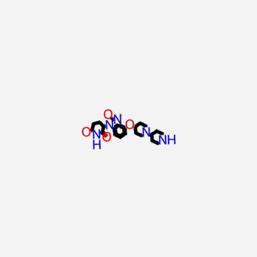 Cn1c(=O)n(C2CCC(=O)NC2=O)c2cccc(OC3CCN(C4CCNCC4)CC3)c21